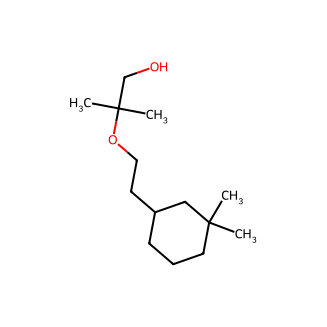 CC1(C)CCCC(CCOC(C)(C)CO)C1